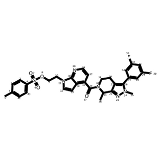 Cc1ccc(S(=O)(=O)OCCn2ccc3c(C(=O)N4CCc5c(nn(C)c5-c5cc(F)cc(F)c5)C4C)ccnc32)cc1